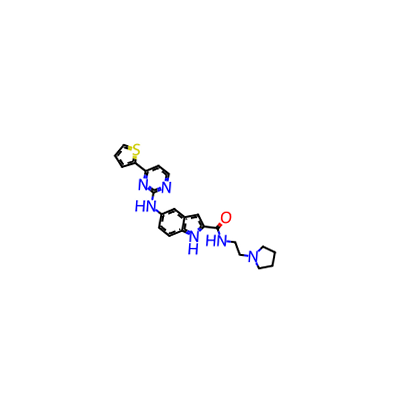 O=C(NCCN1CCCC1)c1cc2cc(Nc3nccc(-c4cccs4)n3)ccc2[nH]1